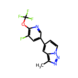 Cc1nnn2ccc(-c3cnc(OC(F)(F)F)c(F)c3)cc12